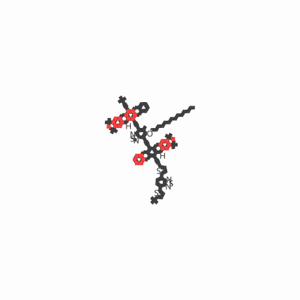 CCCCCCCCCCCCCCOc1c(C)c(C#Cc2c3c(c(C#CC(C)(C)C)c4c2[C@H]2c5ccc(C(C)(C)C)cc5C4c4ccc(C(C)(C)C)cc42)C2c4ccccc4C3c3ccccc32)c2nsnc2c1C#Cc1c2c(c(C#Cc3ccc(-c4ccc(-c5ccc(C(C)(C)C)s5)c5nsnc45)s3)c3c1C1c4cc(C(C)(C)C)ccc4[C@H]3c3cc(C(C)(C)C)ccc31)C1c3ccccc3C2c2ccccc21